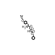 CN(C)CCOc1ccc(C[C@H](N)C(=O)CC(=O)NC(=O)OCc2ccccc2)cc1